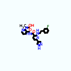 CN(C(=O)O)c1ncccc1CNC(=O)c1ccc(-c2cn[nH]c2)nc1NCCc1cccc(F)c1